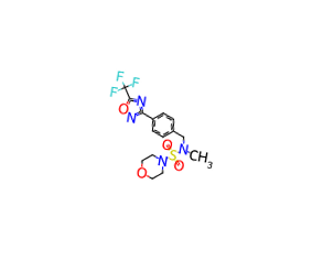 CN(Cc1ccc(-c2noc(C(F)(F)F)n2)cc1)S(=O)(=O)N1CCOCC1